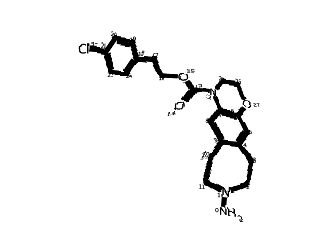 NN1CCc2cc3c(cc2CC1)N(C(=O)OCCc1ccc(Cl)cc1)CCO3